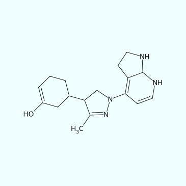 CC1=NN(C2=C3CCNC3NC=C2)CC1C1CCC=C(O)C1